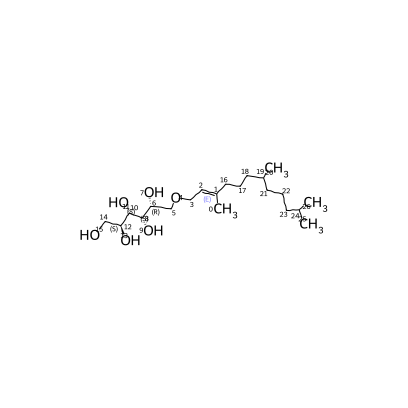 C/C(=C\COC[C@@H](O)[C@H](O)[C@@H](O)[C@@H](O)CO)CCCC(C)CCCC(C)C